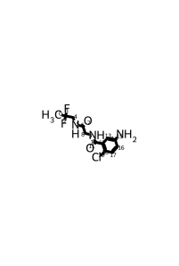 CC(F)(F)CNC(=O)CNC(=O)c1cc(N)ccc1Cl